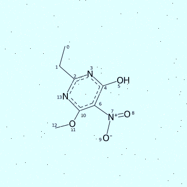 CCc1nc(O)c([N+](=O)[O-])c(OC)n1